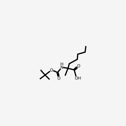 CCCCCC(C)(NC(=O)OC(C)(C)C)C(=O)O